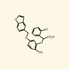 N#Cc1ccc(OCc2ccc3occc3c2)cc1OC(C(=O)O)c1ccccc1Cl